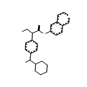 NCC(C(=O)Nc1ccc2cnccc2c1)c1ccc(C(C(=O)O)C2CCCCC2)cc1